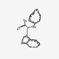 O=C(O)C(Nc1ccccc1)n1cnc2ccccc21